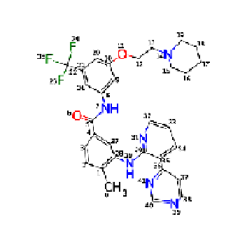 Cc1ccc(C(=O)Nc2cc(OCCN3CCCCC3)cc(C(F)(F)F)c2)cc1Nc1ncccc1-c1ccncn1